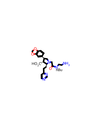 CCCCN(CCN)C(=O)CN1C[C@H](c2ccc3c(c2)OCO3)[C@@H](C(=O)O)[C@@H]1CCc1ccncn1